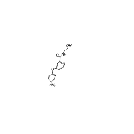 Nc1ccc(Oc2ccnc(C(=O)NCCO)c2)cc1